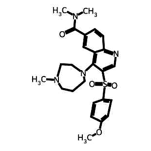 COc1ccc(S(=O)(=O)c2cnc3ccc(C(=O)N(C)C)cc3c2N2CCCN(C)CC2)cc1